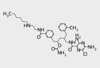 CCCCCCNCCNC(=O)c1cccc(CC(CC(CNC(=O)c2nc(Cl)c(N)nc2N)Cc2ccccc2C)OC(N)=O)c1